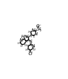 C[S+]([O-])c1ncc(-c2[nH]c3ncccc3c2Sc2ccc(Cl)cn2)cn1